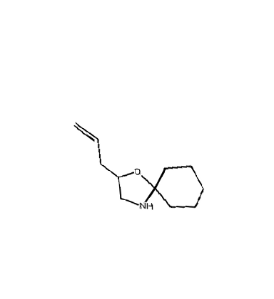 C=CCC1CNC2(CCCCC2)O1